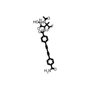 CC(=O)NC(C)(C(F)F)C(NC(=O)c1ccc(C#CC#Cc2ccc(C(N)=O)cc2)cc1)C(=O)NO